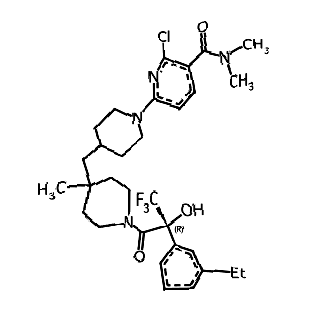 CCc1cccc([C@@](O)(C(=O)N2CCC(C)(CC3CCN(c4ccc(C(=O)N(C)C)c(Cl)n4)CC3)CC2)C(F)(F)F)c1